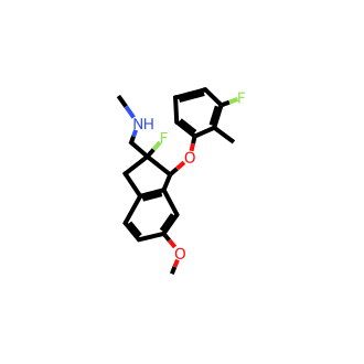 CNCC1(F)Cc2ccc(OC)cc2C1Oc1cccc(F)c1C